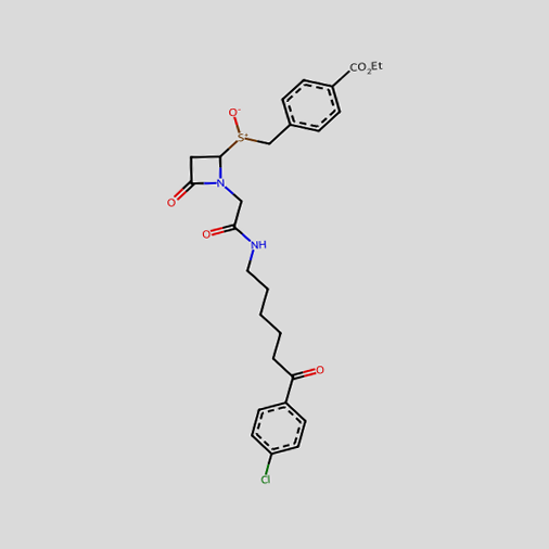 CCOC(=O)c1ccc(C[S+]([O-])C2CC(=O)N2CC(=O)NCCCCCC(=O)c2ccc(Cl)cc2)cc1